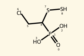 O=P(O)(O)C(CCl)SS